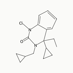 CCC1(C2CC2)c2ccccc2N(Cl)C(=O)N1CC1CC1